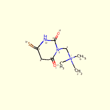 C[N+](C)(C)CN1C(=O)CC(=S)NC1=O